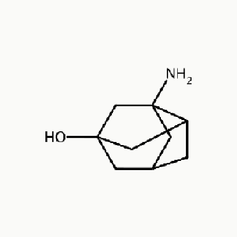 NC12CC3CC1CC(O)(C3)C2